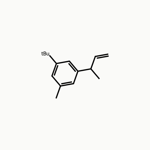 C=C[C](C)c1cc(C)cc(C(C)(C)C)c1